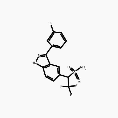 NS(=O)(=O)C(c1ccc2[nH]nc(-c3cccc(F)c3)c2c1)C(F)(F)F